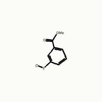 COC(=O)c1cccc(SCl)c1